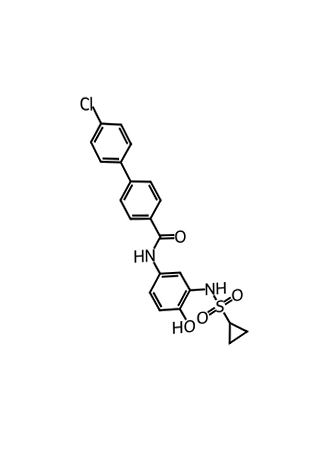 O=C(Nc1ccc(O)c(NS(=O)(=O)C2CC2)c1)c1ccc(-c2ccc(Cl)cc2)cc1